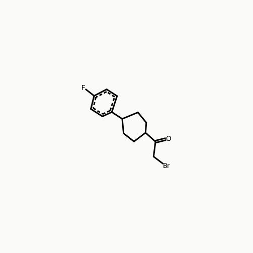 O=C(CBr)C1CCC(c2ccc(F)cc2)CC1